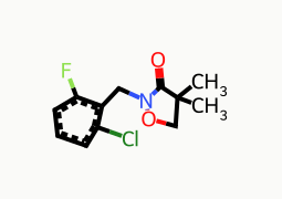 CC1(C)CON(Cc2c(F)cccc2Cl)C1=O